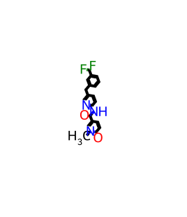 Cn1cc(C(=O)Nc2ccc(Cc3cccc(C(F)F)c3)cn2)ccc1=O